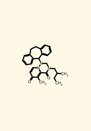 CCC(C)CN1CN(C2c3ccccc3CCc3ccccc32)n2ccc(=O)c(C)c2C1=O